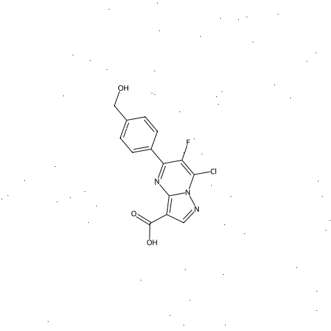 O=C(O)c1cnn2c(Cl)c(F)c(-c3ccc(CO)cc3)nc12